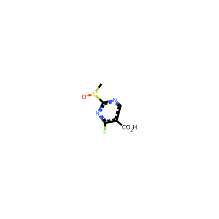 C[S+]([O-])c1ncc(C(=O)O)c(F)n1